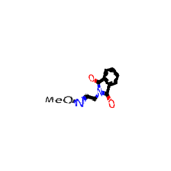 CON=CCN1C(=O)c2ccccc2C1=O